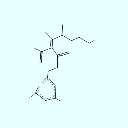 C=C(C)/C(C(=C)CCc1cc(CC)cc(CC)c1)=C(\C)C(C)CCCNC